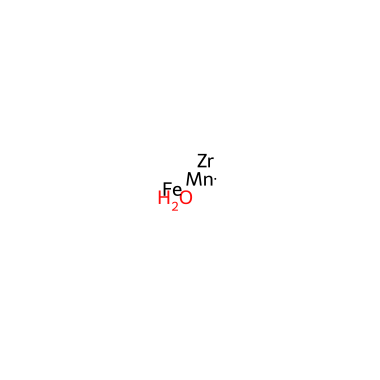 O.[Fe].[Mn].[Zr]